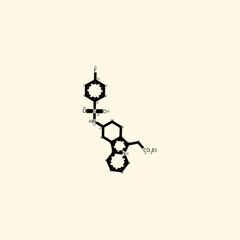 CCOC(=O)Cc1c2c(c3ccccn13)CC(NS(=O)(=O)c1ccc(F)cc1)CC2